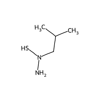 CC(C)CN(N)S